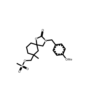 COc1ccc(CN2CC3(CCCC(C)(COS(C)(=O)=O)C3)OC2=O)cc1